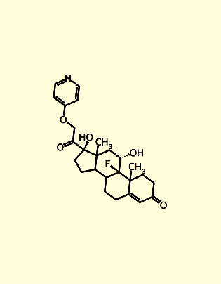 CC12C[C@H](O)[C@@]3(F)C(CCC4=CC(=O)CCC43C)C1CC[C@]2(O)C(=O)COc1ccncc1